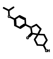 CC(C)Oc1ccc(N2CCC3(CCC(O)CC3)C2=O)cc1